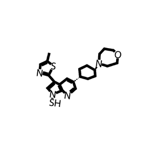 Cc1cnc(-c2cn(S)c3ncc([C@H]4CC[C@H](N5CCCOCC5)CC4)cc23)s1